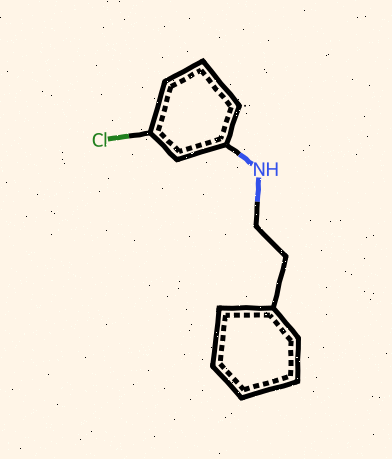 Clc1cc[c]c(NCCc2ccccc2)c1